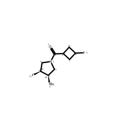 CC(C)(C)[C@@H]1CN(C(=O)C2CC(F)C2)C[C@@H]1F